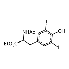 CCOC(=O)[C@H](Cc1cc(I)c(O)c(I)c1)NC(C)=O